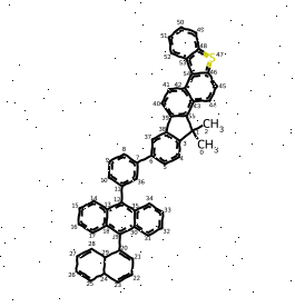 CC1(C)c2ccc(-c3cccc(-c4c5ccccc5c(C5=CC=CC6C=CC=CC56)c5ccccc45)c3)cc2-c2ccc3c(ccc4sc5ccccc5c43)c21